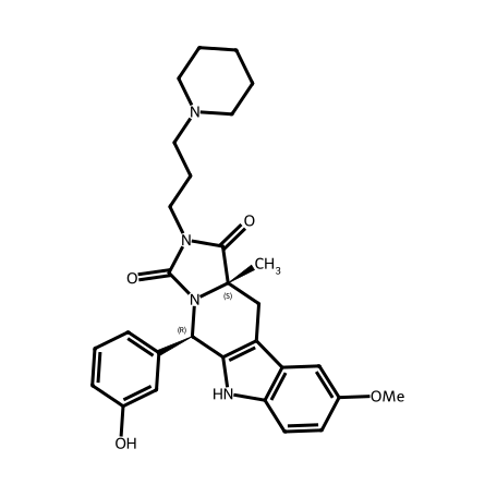 COc1ccc2[nH]c3c(c2c1)C[C@@]1(C)C(=O)N(CCCN2CCCCC2)C(=O)N1[C@@H]3c1cccc(O)c1